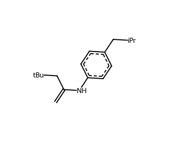 C=C(CC(C)(C)C)Nc1ccc(CC(C)C)cc1